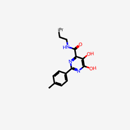 Cc1ccc(-c2nc(O)c(O)c(C(=O)NCCC(C)C)n2)cc1